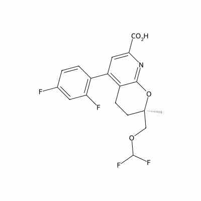 C[C@]1(COC(F)F)CCc2c(-c3ccc(F)cc3F)cc(C(=O)O)nc2O1